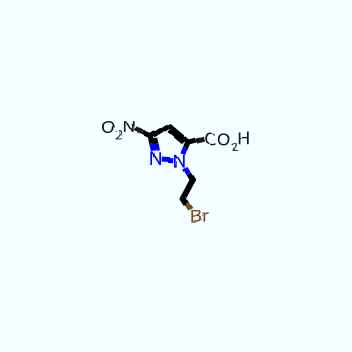 O=C(O)c1cc([N+](=O)[O-])nn1CCBr